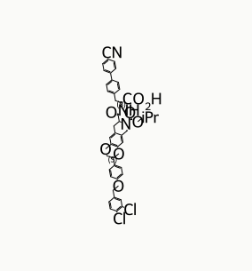 CC(C)OC(=O)N1Cc2cc3c(cc2CC1C(=O)N[C@@H](Cc1ccc(-c2ccc(C#N)cc2)cc1)C(=O)O)OC[C@H](c1ccc(OCc2ccc(Cl)c(Cl)c2)cc1)O3